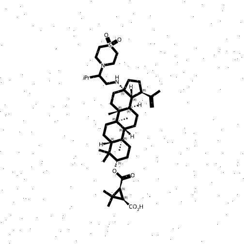 C=C(C)[C@@H]1CC[C@]2(NCC(C(C)C)N3CCS(=O)(=O)CC3)CC[C@]3(C)[C@H](CC[C@@H]4[C@@]5(C)CC[C@H](OC(=O)[C@H]6[C@@H](C(=O)O)C6(C)C)C(C)(C)[C@@H]5CC[C@]43C)[C@@H]12